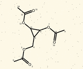 CC(=O)OCC1C(OC(C)=O)C1OC(C)=O